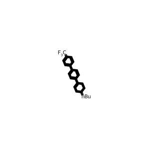 CCCCC1CC=C(c2ccc(-c3ccc(C(F)(F)F)cc3)cc2)CC1